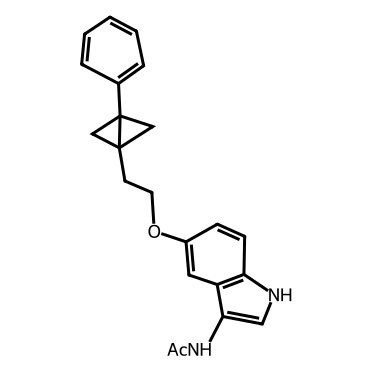 CC(=O)Nc1c[nH]c2ccc(OCCC34CC3(c3ccccc3)C4)cc12